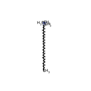 CCCCCCCCCCCCCCCCCCCCCCCCCCCCCCCCCC[N+](C)(C)C